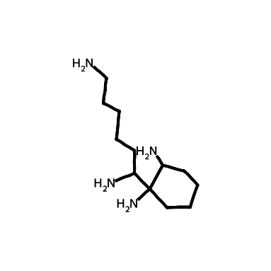 NCCCCCC(N)C1(N)CCCCC1N